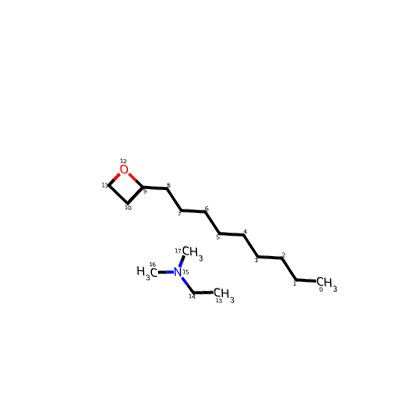 CCCCCCCCCC1CCO1.CCN(C)C